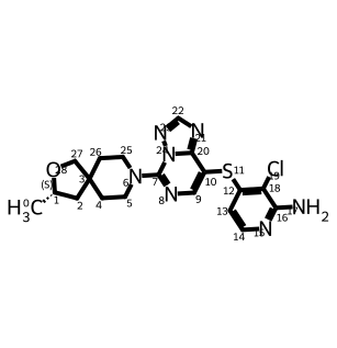 C[C@H]1CC2(CCN(c3ncc(Sc4ccnc(N)c4Cl)c4ncnn34)CC2)CO1